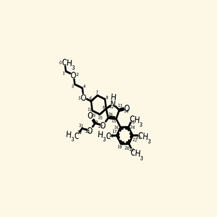 CCOCCOC1CCC2(CC1)NC(=O)C(c1c(C)cc(C)c(C)c1C)=C2OC(=O)OCC